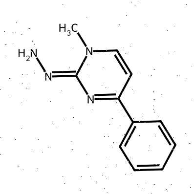 Cn1ccc(-c2ccccc2)n/c1=N/N